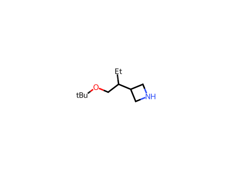 CCC(COC(C)(C)C)C1CNC1